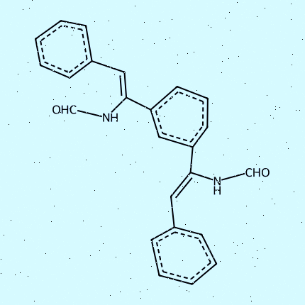 O=CNC(=Cc1ccccc1)c1cccc(C(=Cc2ccccc2)NC=O)c1